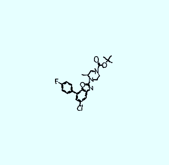 C[C@H]1CN(C(=O)OC(C)(C)C)CCN1c1nc2cc(Cl)cc(-c3ccc(F)cc3)c2o1